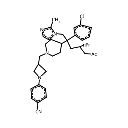 CCCC(CC(C)=O)CC(Cn1ccnc1C)(c1cccc(Cl)c1)C1CCN(CC2CN(c3ccc(C#N)cc3)C2)CC1